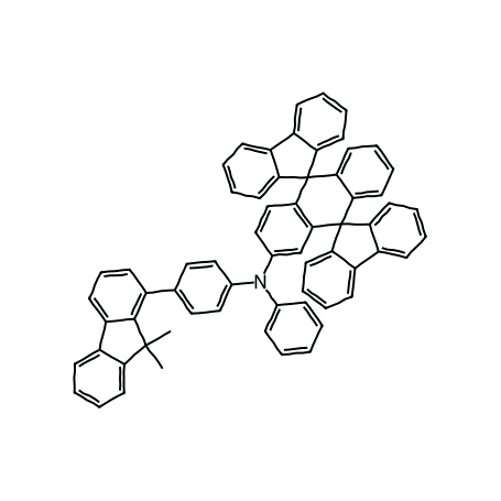 CC1(C)c2ccccc2-c2cccc(-c3ccc(N(c4ccccc4)c4ccc5c(c4)C4(c6ccccc6-c6ccccc64)c4ccccc4C54c5ccccc5-c5ccccc54)cc3)c21